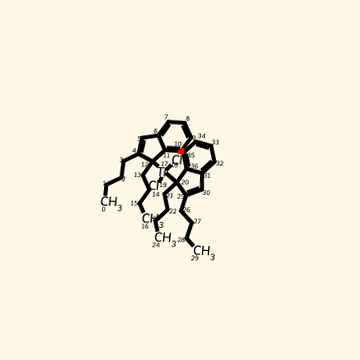 CCCCC1=Cc2ccccc2[C]1(CCCC)[Ti]([Cl])([Cl])[C]1(CCCC)C(CCCC)=Cc2ccccc21